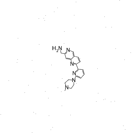 CN1CCN(c2cccc(-c3ccc4cnc(CN)cc4n3)n2)CC1